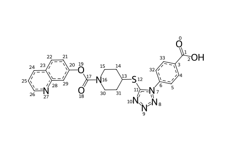 O=C(O)c1ccc(-n2nnnc2SC2CCN(C(=O)Oc3ccc4cccnc4c3)CC2)cc1